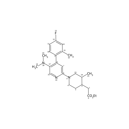 CCOC(=O)CC1CCN(c2cc(-c3ccc(F)cc3C)c(N(C)C)cn2)CC1C